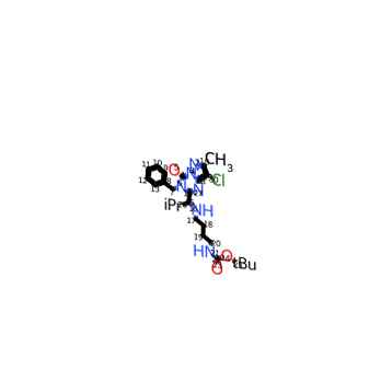 Cc1nn2c(=O)n(Cc3ccccc3)c(C(NCCCCNC(=O)OC(C)(C)C)C(C)C)nc2c1Cl